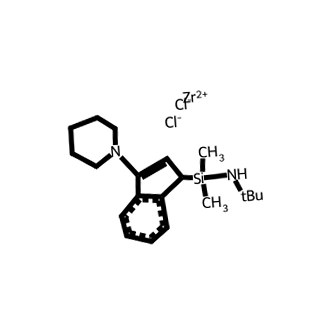 CC(C)(C)N[Si](C)(C)C1C=C(N2CCCCC2)c2ccccc21.[Cl-].[Cl-].[Zr+2]